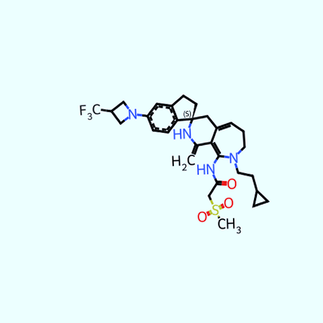 C=C1N[C@@]2(CCc3cc(N4CC(C(F)(F)F)C4)ccc32)CC2=CCCN(CCC3CC3)C(NC(=O)CS(C)(=O)=O)=C12